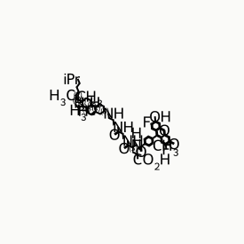 Cc1cc(C(=O)N[C@@H](CCC(=O)O)C(=O)NCCC(=O)NCCCN[C@H]2CC[C@@]3(C)C(=CC[C@H]4[C@@H]5CC[C@H]([C@H](C)CCCC(C)C)[C@@]5(C)CC[C@@H]43)C2)ccc1-c1c2cc(F)c(=O)cc-2oc2cc(O)c(F)cc12